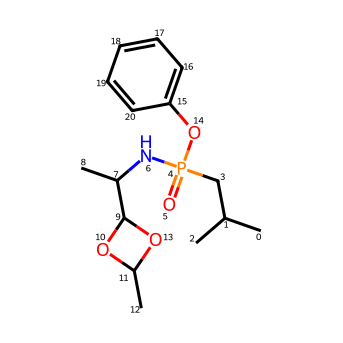 CC(C)CP(=O)(NC(C)C1OC(C)O1)Oc1ccccc1